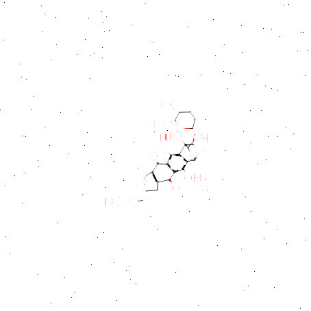 CC1OC2CC(O[C@H]3CC[C@H](O)[C@H](C)O3)C1(O)c1c(O)c3c(c(O)c12)C(=O)C1=C(CO[C@@H](CC(=O)O)C1)C3=O